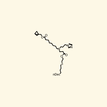 CCCCCCCCCCCCCCSCCOC(=O)CCN(CCCCCCCC(=O)OCC12CC(C1)C2)CCCn1ccnc1